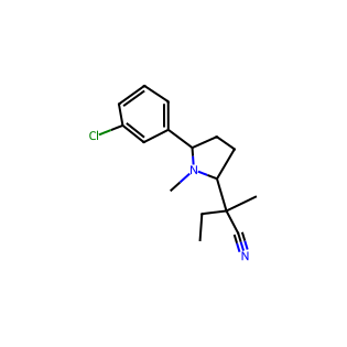 CCC(C)(C#N)C1CCC(c2cccc(Cl)c2)N1C